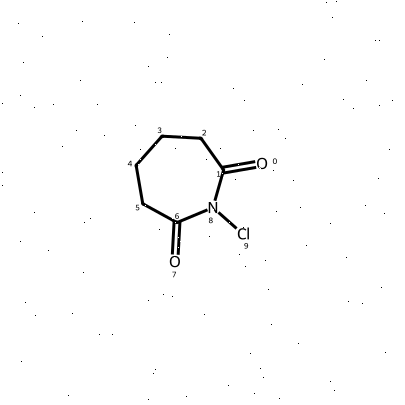 O=C1CCCCC(=O)N1Cl